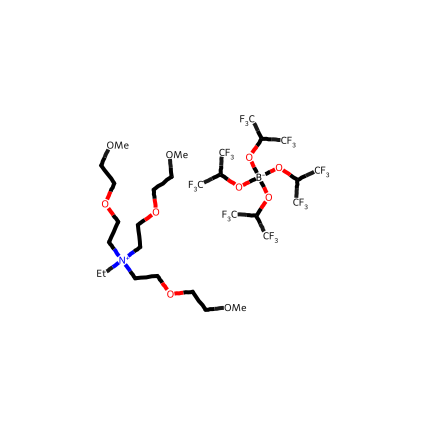 CC[N+](CCOCCOC)(CCOCCOC)CCOCCOC.FC(F)(F)C(O[B-](OC(C(F)(F)F)C(F)(F)F)(OC(C(F)(F)F)C(F)(F)F)OC(C(F)(F)F)C(F)(F)F)C(F)(F)F